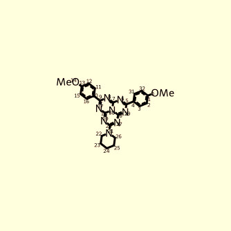 COc1ccc(C2=NC3=NC(c4ccc(OC)cc4)=NC4=NC(N5CCCCC5)=NC(=N2)N34)cc1